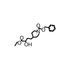 CCOC(=O)C(O)CCC1CCN(C(=O)OCc2ccccc2)CC1